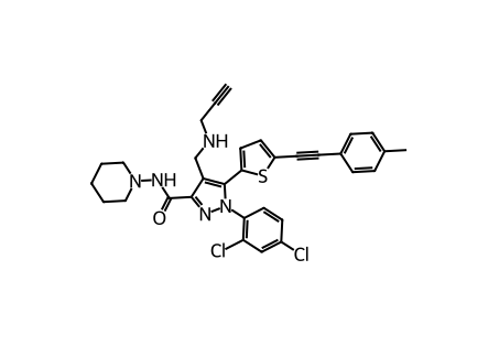 C#CCNCc1c(C(=O)NN2CCCCC2)nn(-c2ccc(Cl)cc2Cl)c1-c1ccc(C#Cc2ccc(C)cc2)s1